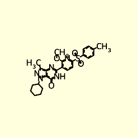 COc1nc(S(=O)(=O)c2ccc(C)cc2)ccc1-c1nc2c(C)nn(C3CCCCC3)c2c(=O)[nH]1